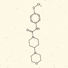 O=C(Nc1ccc(OC(F)(F)F)cc1)N1CCC(N2CCOCC2)CC1